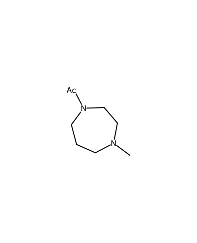 [CH2]C(=O)N1CCCN(C)CC1